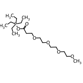 CCP(CC)(CC)(CC)OC(=O)CCOCCOCCOCCOC